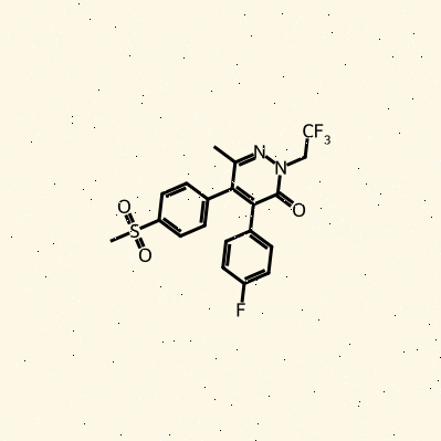 Cc1nn(CC(F)(F)F)c(=O)c(-c2ccc(F)cc2)c1-c1ccc(S(C)(=O)=O)cc1